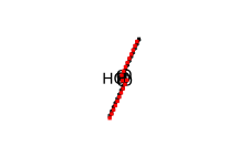 CCCCCCCCCCCCCCCCCC(=O)OP(=O)(O)OC(=O)CCCCCCCCCCCCCCCCC